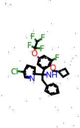 O=C(NC(Cc1ccccc1)(c1cc(F)cc(OC(F)(F)C(F)F)c1)c1ccc(Cl)cn1)C1CCC1